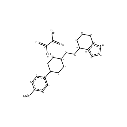 COc1ccc(C2CCN(CCC3CCCc4sccc43)CC2)cc1.O=C(O)C(=O)O